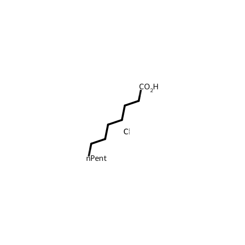 CCCCCCCCCCCC(=O)O.[C]